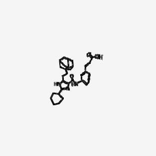 O=C(O)/C=C/c1cccc(NC(=O)c2nc(C3CCCCC3)[nH]c2CCC23CC4CC(CC(C4)C2)C3)c1